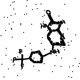 O=c1[nH]c2cc(Nc3ccc(C(F)(F)F)cc3)cnc2[nH]1